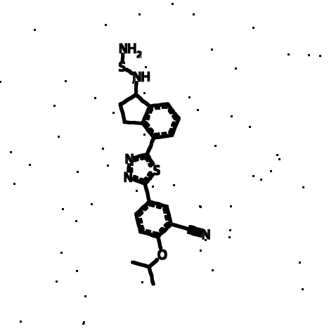 CC(C)Oc1ccc(-c2nnc(-c3cccc4c3CCC4NSN)s2)cc1C#N